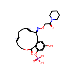 O=C1OCC/C=C/CC/C=C/C(=NOCC(=O)N2CCCCC2)Cc2cc(O)cc(OP(=O)(O)O)c21